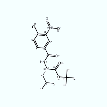 CC(C)C[C@H](NC(=O)c1ccc(Cl)c([N+](=O)[O-])c1)C(=O)OC(C)(C)C